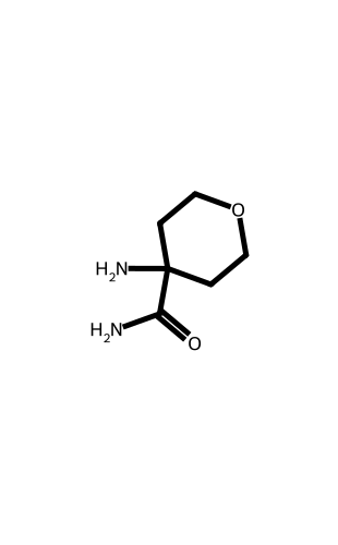 NC(=O)C1(N)CCOCC1